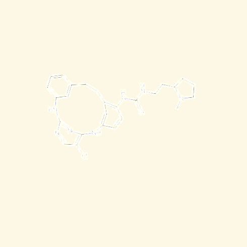 CN1CCCC1CCNC(=O)Nc1ccc2cc1CCc1cccc(c1)Nc1ncc(Cl)c(n1)N2